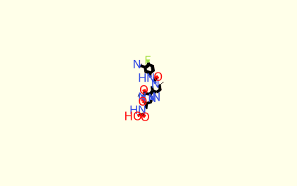 C[C@@H]1Cc2nn3c(c2CN1C(=O)Nc1ccc(F)c(C#N)c1)C(=O)N(C)OC(CNC(=O)O)C3